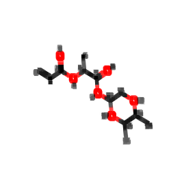 C=CC(=O)OC(C)C(=O)OC1COC(C)C(C)O1